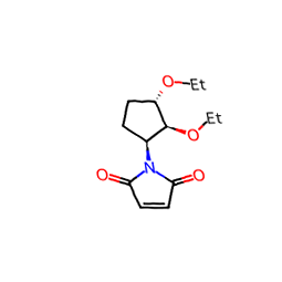 CCO[C@@H]1[C@@H](OCC)CC[C@@H]1N1C(=O)C=CC1=O